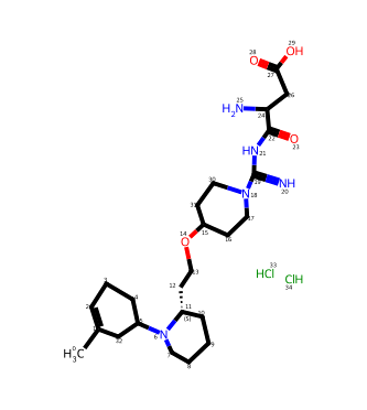 CC1=CCCC(N2CCCC[C@H]2CCOC2CCN(C(=N)NC(=O)C(N)CC(=O)O)CC2)C1.Cl.Cl